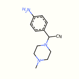 CN1CCN(C(C#N)c2ccc(N)cc2)CC1